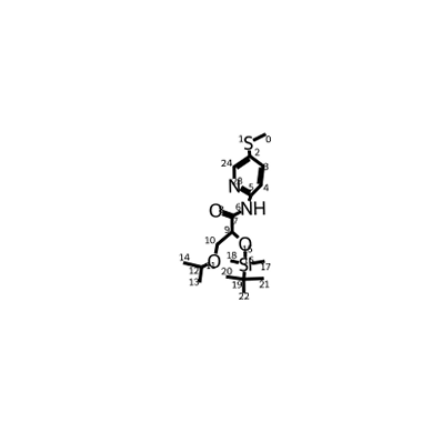 CSc1ccc(NC(=O)C(COC(C)C)O[Si](C)(C)C(C)(C)C)nc1